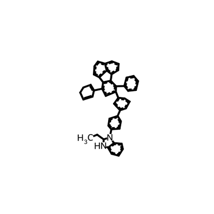 CCC1Nc2ccccc2N1c1ccc(-c2cccc(-c3cc(C4=CCCC=C4)c4c(c3-c3ccccc3)-c3cccc5cccc-4c35)c2)cc1